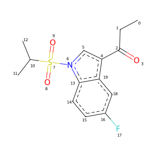 CCC(=O)c1cn(S(=O)(=O)C(C)C)c2ccc(F)cc12